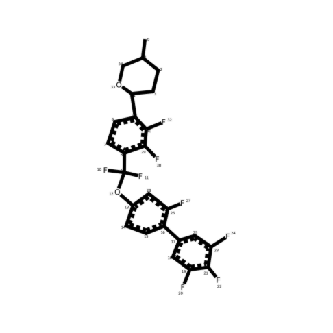 CC1CCC(c2ccc(C(F)(F)Oc3ccc(-c4cc(F)c(F)c(F)c4)c(F)c3)c(F)c2F)OC1